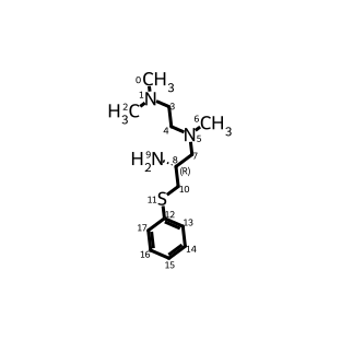 CN(C)CCN(C)C[C@@H](N)CSc1ccccc1